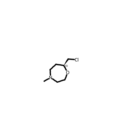 CN1CCO[C@H](CCl)CC1